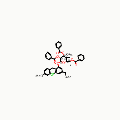 COc1ccc(Cc2c(Cl)cc(COC(C)=O)cc2O[C@@H]2O[C@H]([C@@H](C)OC(=O)c3ccccc3)[C@@](C)(OC(C)=O)[C@H](OC(=O)c3ccccc3)[C@H]2OC(=O)c2ccccc2)cc1